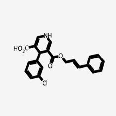 O=C(O)C1=CNC=C(C(=O)OCC=Cc2ccccc2)C1c1cccc(Cl)c1